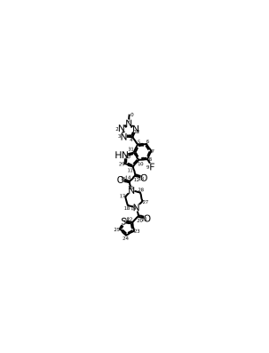 Cn1nnc(-c2ccc(F)c3c(C(=O)C(=O)N4CCN(C(=O)c5cccs5)CC4)c[nH]c23)n1